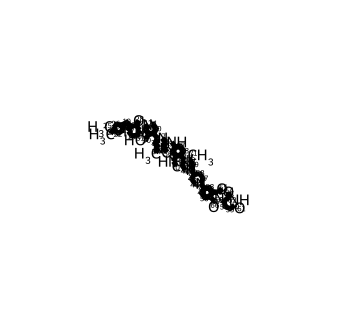 CNc1cc(Nc2nc(-c3ccnc(N4CCn5c(cc6c5CC(C)(C)C6)C4=O)c3CO)cn(C)c2=O)ccc1N1CCN(C2CCN(c3ccc4c(c3)C(=O)N([C@H]3CCC(=O)NC3=O)C4=O)CC2)C[C@@H]1C